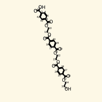 O=C(O)c1ccc(C(=O)OCCOC(=O)c2ccc(C(=O)OCCOC(=O)c3ccc(C(=O)OCCO)cc3)cc2)cc1